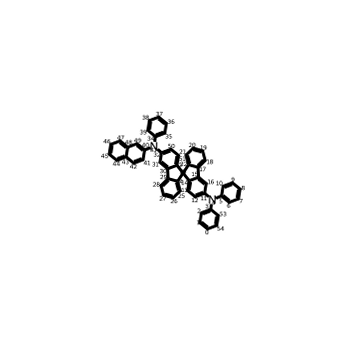 c1ccc(N(c2ccccc2)c2ccc3c(c2)-c2ccccc2C32c3ccccc3-c3cc(N(c4ccccc4)c4ccc5ccccc5c4)ccc32)cc1